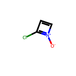 [O-][N+]1=C(Cl)C=C1